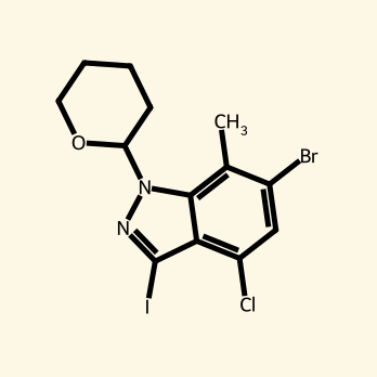 Cc1c(Br)cc(Cl)c2c(I)nn(C3CCCCO3)c12